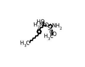 CCCCCCCCc1ccc(CCC(N)(CO)COC2C[C@H](N)[C@H](COC(C)=O)S2)cc1